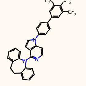 FC(F)(F)c1cc(-c2ccc(-n3ccc4c(N5c6ccccc6CCc6ccccc65)nccc43)cc2)cc(C(F)(F)F)c1C(F)(F)F